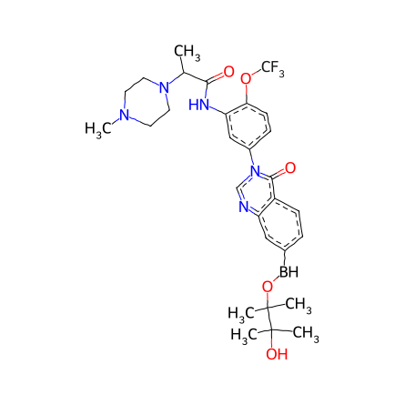 CC(C(=O)Nc1cc(-n2cnc3cc(BOC(C)(C)C(C)(C)O)ccc3c2=O)ccc1OC(F)(F)F)N1CCN(C)CC1